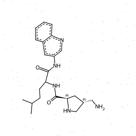 CC(C)CCC(NC(=O)[C@H]1C[C@H](CN)CN1)C(=O)Nc1cnc2ccccc2c1